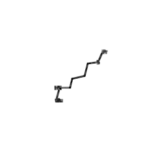 CC(C)SCCCCNC(C)(C)C